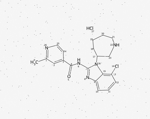 Cc1cc(C(=O)Nc2nc3cccc(Cl)c3n2C2CCCCNC2)ccn1.Cl